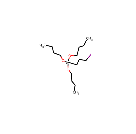 CCCCO[Si](CCCI)(OCCCC)OCCCC